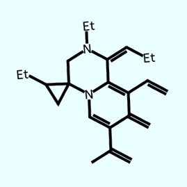 C=CC1=C2/C(=C\CC)N(CC)CC3(CC3CC)N2C=C(C(=C)C)C1=C